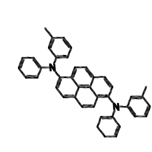 Cc1cccc(N(C2=CCCC=C2)c2ccc3ccc4c(N(c5ccccc5)c5cccc(C)c5)ccc5ccc2c3c54)c1